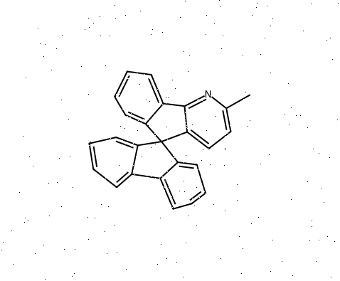 Cc1ccc2c(n1)-c1ccccc1C21c2ccccc2-c2ccccc21